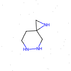 C1CC2(CNN1)CN2